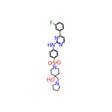 O=S(=O)(c1ccc(Nc2nccc(-c3cccc(F)c3)n2)cc1)N1CCC(O)(CN2CCCC2)CC1